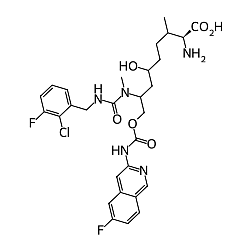 CC(CCC(O)CC(COC(=O)Nc1cc2cc(F)ccc2cn1)N(C)C(=O)NCc1cccc(F)c1Cl)[C@H](N)C(=O)O